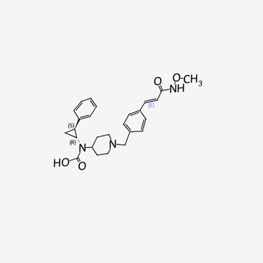 CONC(=O)/C=C/c1ccc(CN2CCC(N(C(=O)O)[C@@H]3C[C@H]3c3ccccc3)CC2)cc1